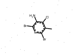 Cc1c(Br)nc(Br)c(N)c1Cl